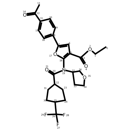 CCOC(=O)c1cc(-c2ccc(C(C)=O)cc2)oc1N(C(=O)C1CCC(C(F)(F)F)CC1)C1CCOC1